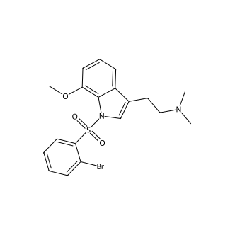 COc1cccc2c(CCN(C)C)cn(S(=O)(=O)c3ccccc3Br)c12